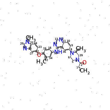 C=CC(=O)N1CCN(c2ccc3ncnc(Nc4ccc(Oc5ccc6c(c5)ncn6C)c(C)c4)c3c2)C(C)C1